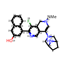 CNN1C=C(N2CC3CCC(C2)N3)c2cnc(-c3cc(O)cc4ccccc34)c(F)c2C1